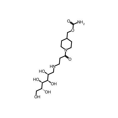 NC(=O)OCC1CCN(C(=O)CCNC[C@H](O)[C@@H](O)[C@H](O)[C@H](O)CO)CC1